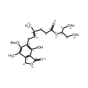 COc1c(C)c2c(c(O)c1C/C=C(\C)CCC(=O)OC(COC(C)=O)COC(C)=O)C(=O)OC2